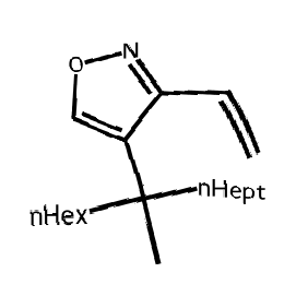 C=Cc1nocc1C(C)(CCCCCC)CCCCCCC